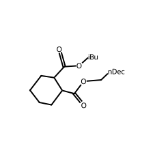 CCCCCCCCCCCOC(=O)C1CCCCC1C(=O)OC(C)CC